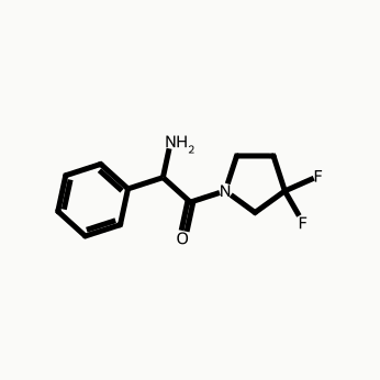 NC(C(=O)N1CCC(F)(F)C1)c1ccccc1